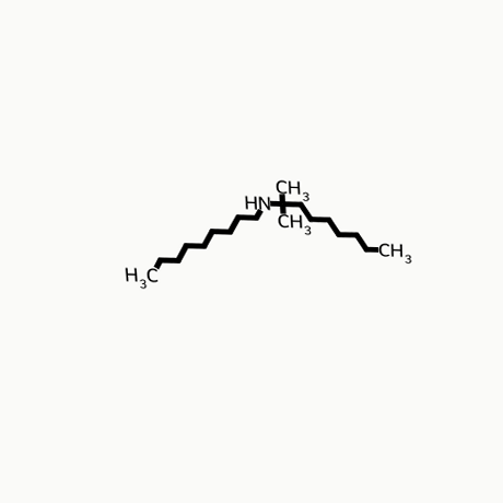 CCCCCCCCCNC(C)(C)CCCCCCC